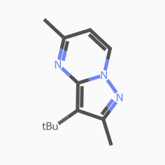 Cc1ccn2nc(C)c(C(C)(C)C)c2n1